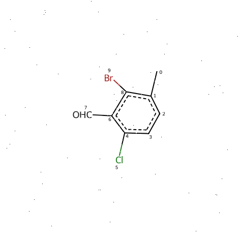 Cc1ccc(Cl)c(C=O)c1Br